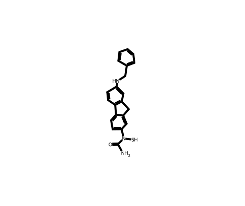 NC(=O)N(S)c1ccc2c(c1)Cc1cc(NCc3ccccc3)ccc1-2